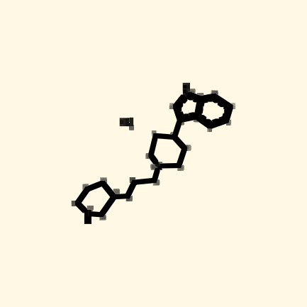 Cl.c1ccc2c(C3CCN(CCCC4CCCNC4)CC3)c[nH]c2c1